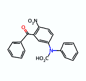 O=C(c1ccccc1)c1cc(N(C(=O)O)c2ccccc2)ccc1[N+](=O)[O-]